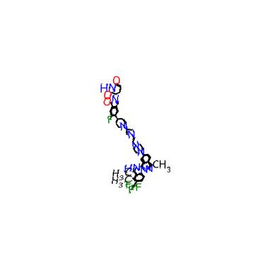 Cc1c(C(C)Nc2nnc(C)c3ccc(N4CCN(CCN5CC(N6CCC(c7cc8c(cc7F)C(=O)N(C7CCC(=O)NC7=O)C8)CC6)C5)CC4)cc23)cccc1C(F)(F)F